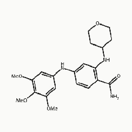 COc1cc(Nc2ccc(C(N)=O)c(NC3CCOCC3)c2)cc(OC)c1OC